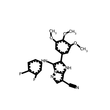 COc1cc(-c2[nH]c3c(C#N)cnn3c2Nc2ccc(F)c(F)c2)cc(OC)c1OC